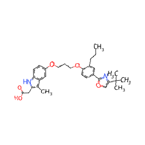 CCCc1cc(-c2nc(C(C)(C)C)co2)ccc1OCCCOc1ccc2[nH]c(CC(=O)O)c(C)c2c1